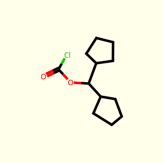 O=C(Cl)OC(C1CCCC1)C1CCCC1